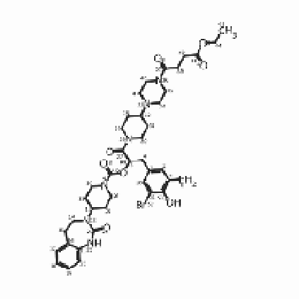 Bc1cc(C[C@@H](OC(=O)N2CCC(N3CCc4ccccc4NC3=O)CC2)C(=O)N2CCC(N3CCN(C(=O)CCC(=O)OCC)CC3)CC2)cc(Br)c1O